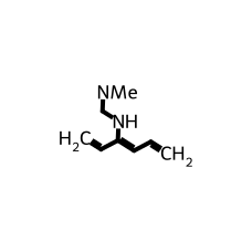 C=C/C=C(/C=C)NCNC